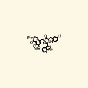 CCCCOc1c2n(c(CNC(=O)[C@@H](Cc3cccc(Cl)c3)NC(=O)c3n[nH]c4ncccc34)cc1=O)CCN(C(C)C)C2=O